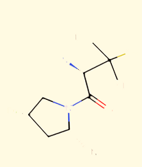 CC(C)(S)[C@H](N)C(=O)N1C[C@@H](F)C[C@H]1C#N